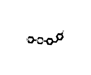 Fc1ccc(Cc2ccc(N3CCN(c4ccncc4)CC3)cc2)cc1